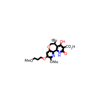 COCCCOc1cc2c(nc1OC)-c1[nH]c(=O)c(C(=O)O)c(O)c1C(C(C)(C)C)CO2